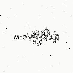 COCCn1cc(-c2c(C)nc3c(-c4ccncc4)nccn23)cn1